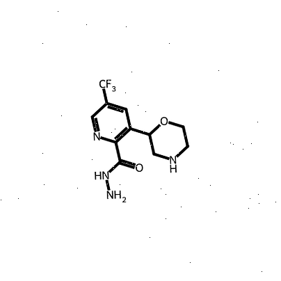 NNC(=O)c1ncc(C(F)(F)F)cc1C1CNCCO1